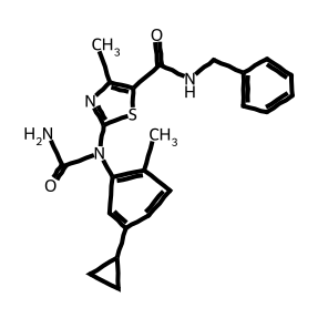 Cc1ccc(C2CC2)cc1N(C(N)=O)c1nc(C)c(C(=O)NCc2ccccc2)s1